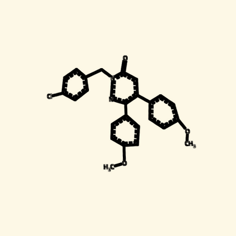 COc1ccc(-c2cc(=O)n(Cc3ccc(Cl)cc3)nc2-c2ccc(OC)cc2)cc1